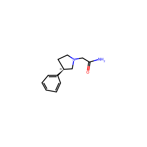 NC(=O)CN1CC[C@H](c2ccccc2)C1